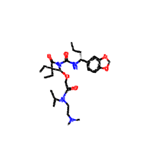 CCC[C@@H](NC(=O)N1C(=O)C(CC)(CC)[C@@H]1OCC(=O)N(CCN(C)C)C(C)C)c1ccc2c(c1)OCO2